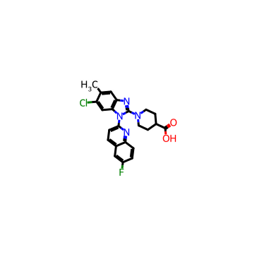 Cc1cc2nc(N3CCC(C(=O)O)CC3)n(-c3ccc4cc(F)ccc4n3)c2cc1Cl